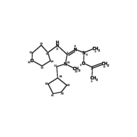 C=C(C)ON(C)/N=C(/NC1CCOCC1)N(C)CC1CCCC1